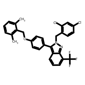 Cc1cccc(C)c1COc1ccc(-c2c3cccc(C(F)(F)F)c3nn2Cc2ccc(Cl)cc2Cl)cc1